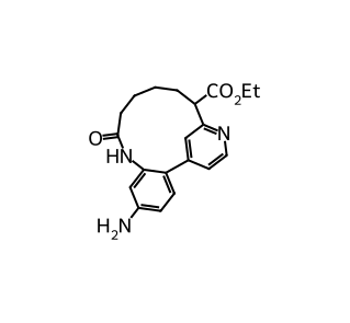 CCOC(=O)C1CCCCC(=O)Nc2cc(N)ccc2-c2ccnc1c2